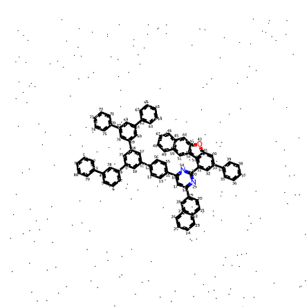 c1ccc(-c2cccc(-c3cc(-c4ccc(-c5cc(-c6ccc7ccccc7c6)nc(-c6cc(-c7ccccc7)cc7oc8cc9ccccc9cc8c67)n5)cc4)cc(-c4cc(-c5ccccc5)cc(-c5ccccc5)c4)c3)c2)cc1